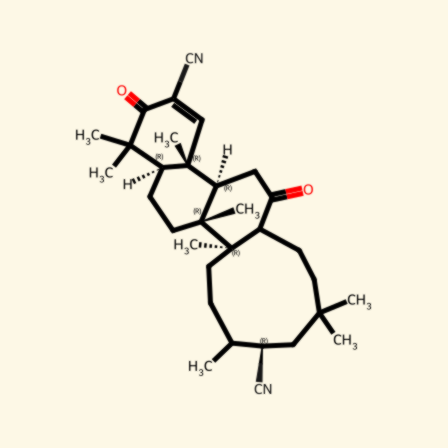 CC1CC[C@]2(C)C(CCC(C)(C)C[C@H]1C#N)C(=O)C[C@@H]1[C@@]3(C)C=C(C#N)C(=O)C(C)(C)[C@@H]3CC[C@]12C